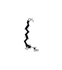 C=C/C=C/C/C=C/CC1O[C@H]1CO